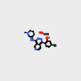 CCc1ccc(-c2nnc(N[C@@H]3CCCN(C)C3)c3cnccc23)c(O)c1.O=CO